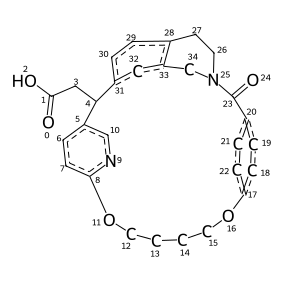 O=C(O)CC1c2ccc(nc2)OCCCCOc2ccc(cc2)C(=O)N2CCc3ccc1cc3C2